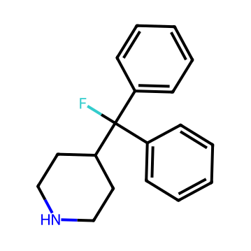 FC(c1ccccc1)(c1ccccc1)C1CCNCC1